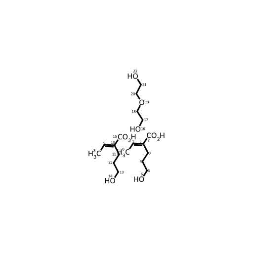 CC=C(CCCO)C(=O)O.CC=C(CCCO)C(=O)O.OCCOCCO